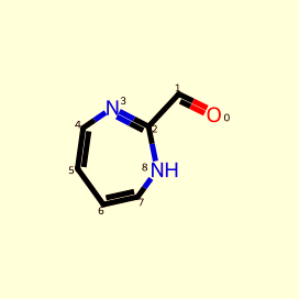 O=CC1=NC=CC=CN1